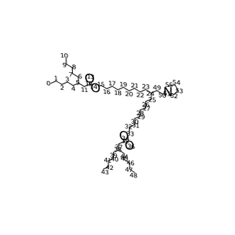 CCCCCC(CCCCC)CC(=O)OCCCCCCCCCC(CCCCCCCCCOC(=O)CC(CCCCC)CCCCC)CCN1CCCC1